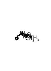 CCOC(=O)c1sc(-n2cc(CCCc3ccccc3)nn2)nc1C